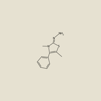 Cc1sc(=NN)n(C)c1-c1ccccc1